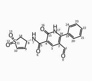 O=Cc1cc(C(=O)N[C@@H]2C=CS(=O)(=O)C2)c(=O)[nH]c1-c1ccccc1